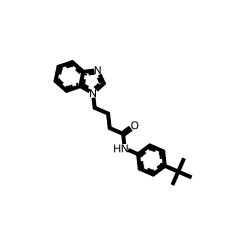 CC(C)(C)c1ccc(NC(=O)CCCn2cnc3ccccc32)cc1